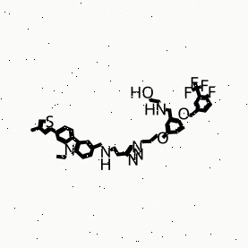 CCn1c2ccc(CNCCc3cn(CCCOc4ccc(OCc5ccc(F)c(C(F)(F)F)c5)c(CNCCO)c4)nn3)cc2c2ccc(-c3cc(C)cs3)cc21